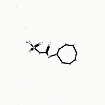 O=C(CS(=O)(=O)O)OC1CCCCCCC1